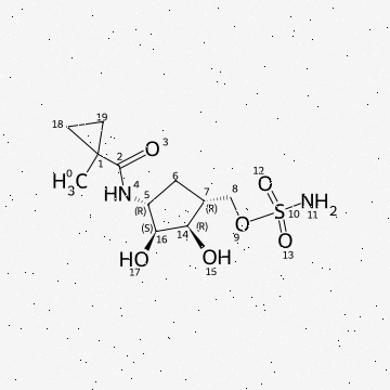 CC1(C(=O)N[C@@H]2C[C@H](COS(N)(=O)=O)[C@@H](O)[C@H]2O)CC1